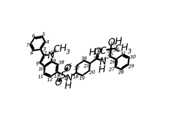 Cn1c(-c2ccccc2)cc2ccc(S(=O)(=O)NC3CCC(C(=O)N[C@@H](c4ccccc4)C(C)(C)O)CC3)cc21